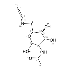 CC(=O)NC1C(O)OC(CN=[N+]=[N-])[C@@H](O)C1O